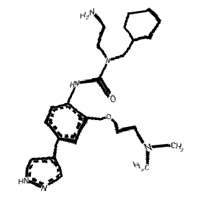 CN(C)CCOc1cc(-c2cn[nH]c2)ccc1NC(=O)N(CCN)CC1CCCCC1